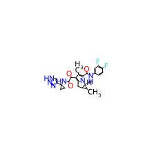 Cc1c(C(=O)C(=O)NC2(c3c[nH]nn3)CC2)c2n(c1C(=O)Nc1ccc(F)c(F)c1)[C@@H]1C(C)C1C2